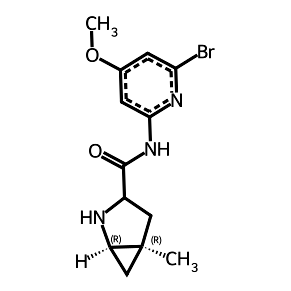 COc1cc(Br)nc(NC(=O)C2C[C@@]3(C)C[C@H]3N2)c1